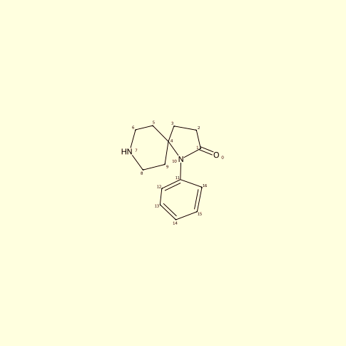 O=C1CCC2(CCNCC2)N1c1ccccc1